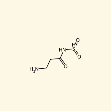 NCCC(=O)N[SH](=O)=O